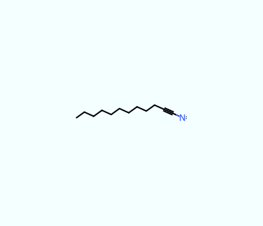 CCCCCCCCCCC#C[N]